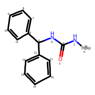 CCCCNC(=O)NC(c1ccccc1)c1ccccc1